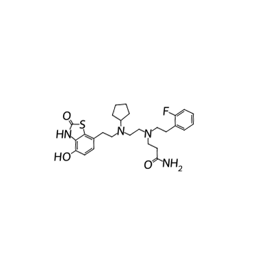 NC(=O)CCN(CCc1ccccc1F)CCN(CCc1ccc(O)c2[nH]c(=O)sc12)C1CCCC1